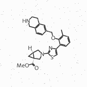 COC(=O)[C@]12C[C@H]1CN(c1nc(-c3cccc(C)c3OCc3ccc4c(c3)CCNC4)cs1)C2